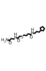 NC(=O)CCNC(=O)CSCCCC(=O)NCCCC1CCCC1